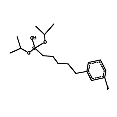 CC(C)O[Si](O)(CCCCCc1cccc(F)c1)OC(C)C